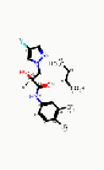 C[C@](O)(Cn1cc(F)cn1)C(=O)Nc1ccc(C#N)c(C(F)(F)F)c1.O=C(O)CCC(=O)O